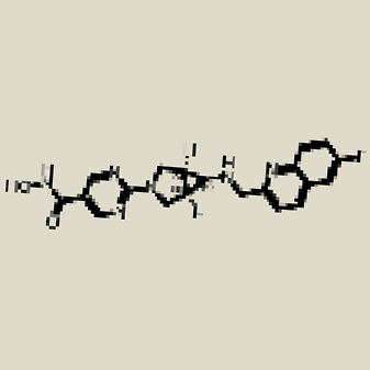 O=C(NO)c1cnc(N2C[C@@H]3[C@H](C2)[C@@H]3NCc2ccc3cc(F)ccc3n2)nc1